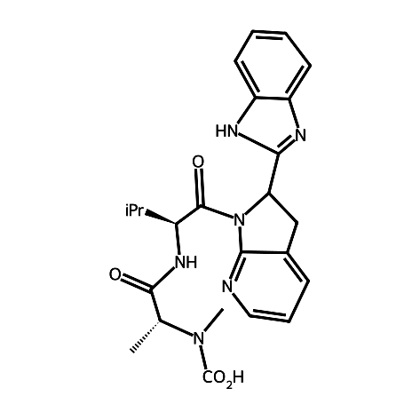 CC(C)[C@H](NC(=O)[C@@H](C)N(C)C(=O)O)C(=O)N1c2ncccc2CC1c1nc2ccccc2[nH]1